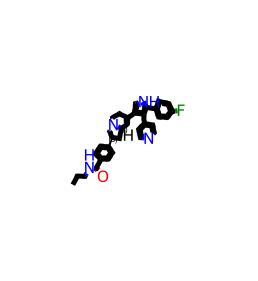 CCCNC(=O)c1ccc([C@@H]2C[C@H]3C=C(c4c[nH]c(-c5ccc(F)cc5)c4-c4ccncc4)CCN3C2)cc1